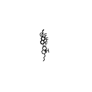 C=CCOc1cc2ccc([C@@H]3CC[C@@H]4CC(CCCC)CCC4C3)c(F)c2c(F)c1F